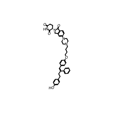 O=C1CC[C@H](N2Cc3cc(N4CCN(CCCCOc5ccc(/C=C(/CCc6ccc(O)cc6)c6ccccc6)cc5)CC4)ccc3C2=O)C(=O)N1